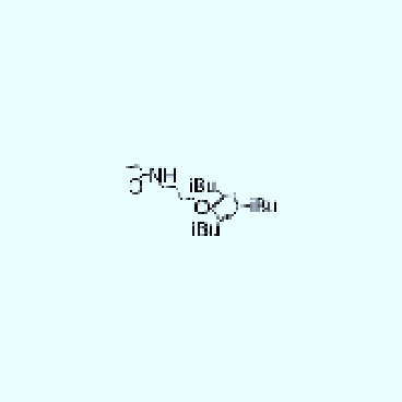 C=CC(=O)NCCCCOc1c(C(C)CC)cc(C(C)CC)cc1C(C)CC